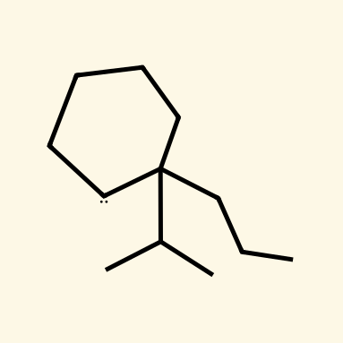 CCCC1(C(C)C)[C]CCCC1